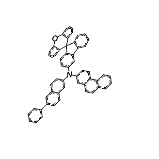 c1ccc(-c2ccc3cc(N(c4ccc5c(c4)-c4ccccc4C54c5ccccc5Oc5ccccc54)c4ccc5c(ccc6ccccc65)c4)ccc3c2)cc1